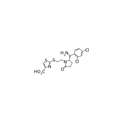 NC(c1ccc(Cl)cc1Cl)[C@H]1CCC(=O)N1CCSc1nc(C(=O)O)cs1